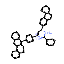 NC(N/C(=C\Cc1ccc2c(ccc3ccccc32)c1)c1ccc(-c2c3ccccc3cc3c2ccc2ccccc23)cc1)c1ccccc1